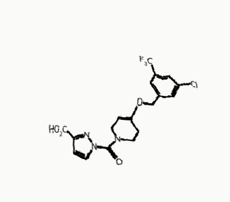 O=C(O)c1ccn(C(=O)N2CCC(OCc3cc(Cl)cc(C(F)(F)F)c3)CC2)n1